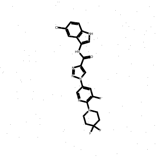 O=C(Nc1c[nH]c2ccc(Cl)cc12)c1cn(-c2cnc(N3CCC(F)(F)CC3)c(F)c2)nn1